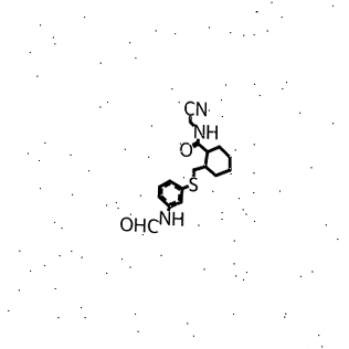 N#CCNC(=O)C1CCCCC1CSc1cccc(NC=O)c1